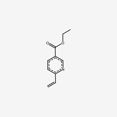 C=Cc1ccc(C(=O)OCC)cn1